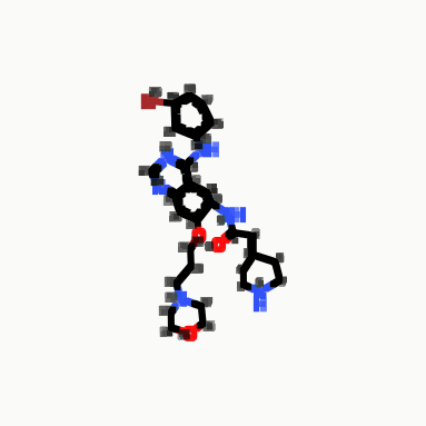 O=C(C=C1CCNCC1)Nc1cc2c(Nc3cccc(Br)c3)ncnc2cc1OCCCN1CCOCC1